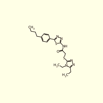 CCCCc1ccc(-c2nnc(NC(=O)CSc3nnc(CC)n3CC)s2)cc1